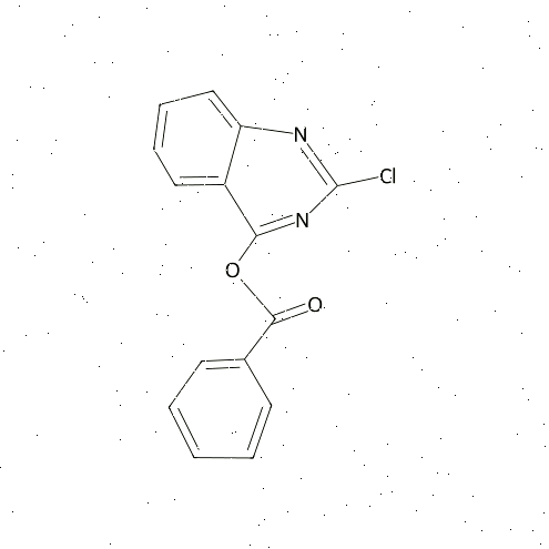 O=C(Oc1nc(Cl)nc2ccccc12)c1ccccc1